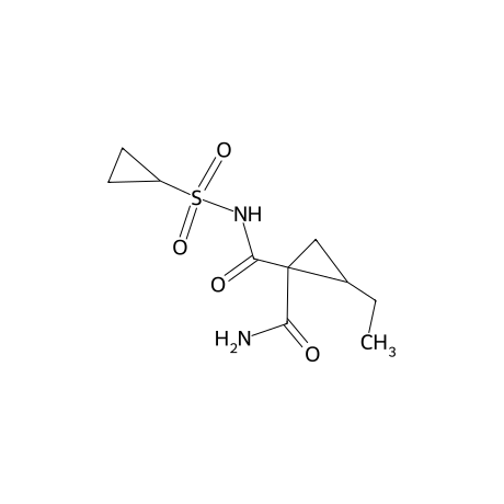 CCC1CC1(C(N)=O)C(=O)NS(=O)(=O)C1CC1